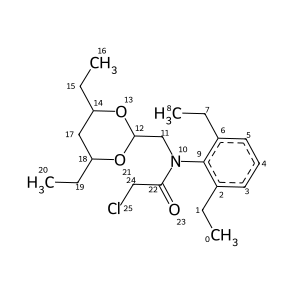 CCc1cccc(CC)c1N(CC1OC(CC)CC(CC)O1)C(=O)CCl